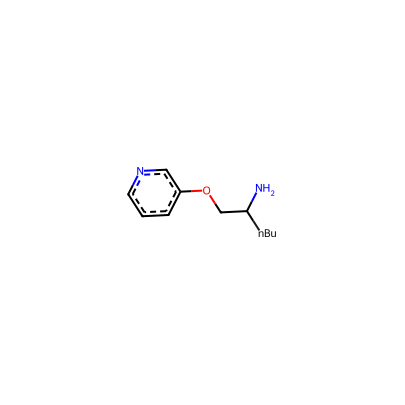 CCCCC(N)COc1cccnc1